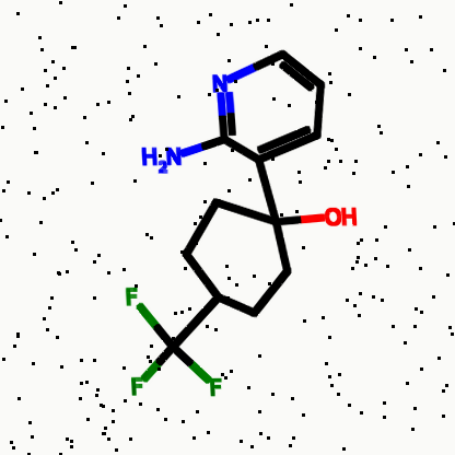 Nc1ncccc1C1(O)CCC(C(F)(F)F)CC1